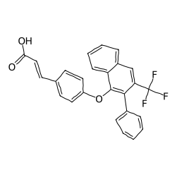 O=C(O)C=Cc1ccc(Oc2c(-c3ccccc3)c(C(F)(F)F)cc3ccccc23)cc1